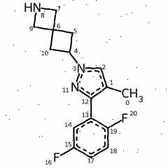 Cc1cn(C2CC3(CNC3)C2)nc1-c1cc(F)ccc1F